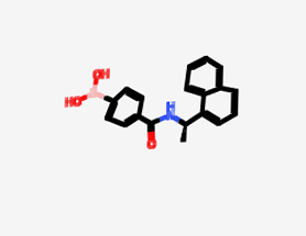 C[C@@H](NC(=O)c1ccc(B(O)O)cc1)c1cccc2ccccc12